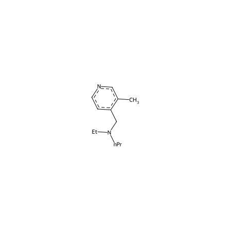 CCCN(CC)Cc1ccncc1C